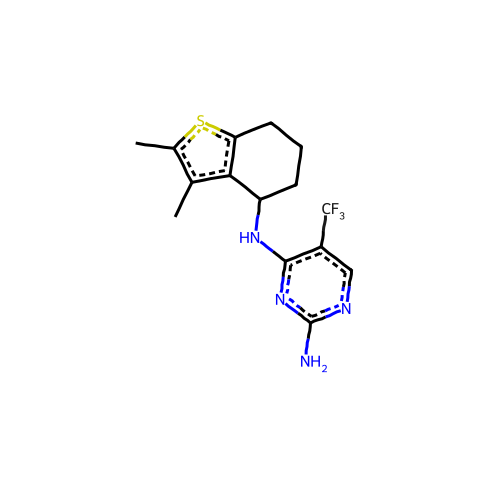 Cc1sc2c(c1C)C(Nc1nc(N)ncc1C(F)(F)F)CCC2